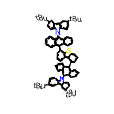 CC(C)(C)c1ccc2c(c1)c1cc(C(C)(C)C)ccc1n2-c1c2ccccc2c(-c2cccc3c2sc2cccc(-c4c5ccccc5c(-n5c6ccc(C(C)(C)C)cc6c6cc(C(C)(C)C)ccc65)c5ccccc45)c23)c2ccccc12